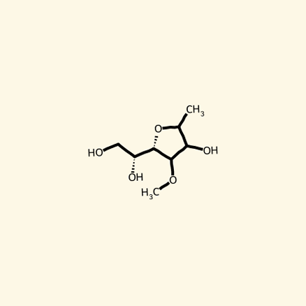 COC1C(O)C(C)O[C@H]1[C@H](O)CO